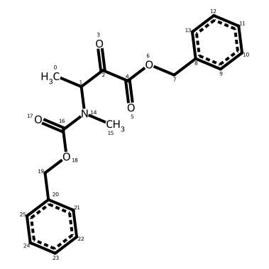 CC(C(=O)C(=O)OCc1ccccc1)N(C)C(=O)OCc1ccccc1